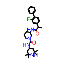 CC(C(=O)NC1CCCN(C(=O)NC2CC(C)(C)NC(C)(C)C2)C1)c1ccc(-c2ccccc2)c(F)c1